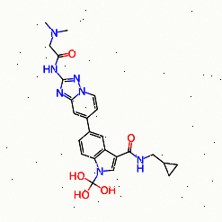 CN(C)CC(=O)Nc1nc2cc(-c3ccc4c(c3)c(C(=O)NCC3CC3)cn4C(O)(O)O)ccn2n1